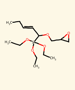 CCC=CC(OCC1CO1)[Si](OCC)(OCC)OCC